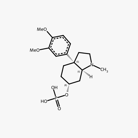 COc1ccc([C@@]23CC[C@@H](OP(=O)(O)O)C[C@@H]2N(C)CC3)cc1OC